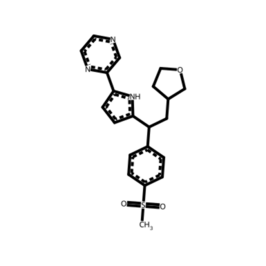 CS(=O)(=O)c1ccc(C(CC2CCOC2)c2ccc(-c3cnccn3)[nH]2)cc1